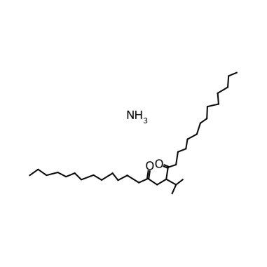 CCCCCCCCCCCCCC(=O)CC(C(=O)CCCCCCCCCCCCC)C(C)C.N